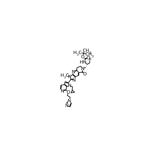 Cn1c(-c2cc3ccnc(OCCn4ccnc4)c3n2CC2CC2)nc2cc3c(nc21)CCN(C[C@@H](CF)NC(=O)OC(C)(C)C)C3=O